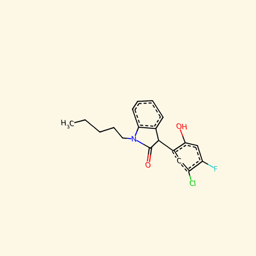 CCCCCN1C(=O)C(c2cc(Cl)c(F)cc2O)c2ccccc21